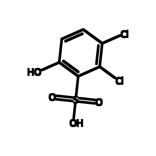 O=S(=O)(O)c1c(O)ccc(Cl)c1Cl